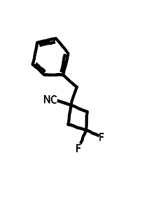 N#CC1(Cc2ccccc2)CC(F)(F)C1